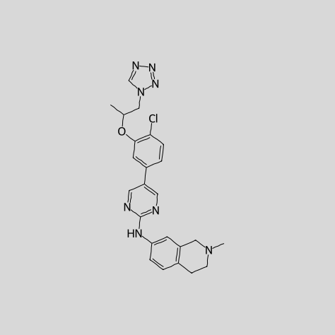 CC(Cn1cnnn1)Oc1cc(-c2cnc(Nc3ccc4c(c3)CN(C)CC4)nc2)ccc1Cl